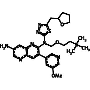 COc1cncc(-c2cc3ncc(N)cc3nc2N(COCC[Si](C)(C)C)c2nnc(CC3CCCO3)s2)c1